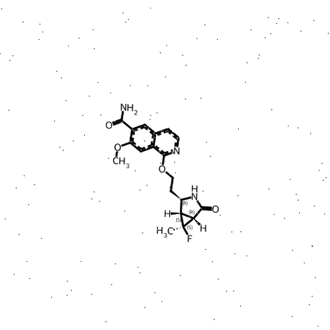 COc1cc2c(OCC[C@H]3NC(=O)[C@H]4[C@@H]3[C@]4(C)F)nccc2cc1C(N)=O